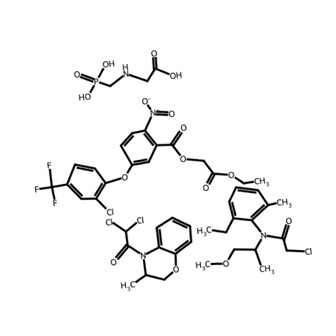 CC1COc2ccccc2N1C(=O)C(Cl)Cl.CCOC(=O)COC(=O)c1cc(Oc2ccc(C(F)(F)F)cc2Cl)ccc1[N+](=O)[O-].CCc1cccc(C)c1N(C(=O)CCl)C(C)COC.O=C(O)CNCP(=O)(O)O